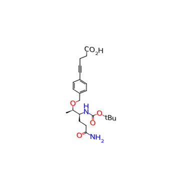 C[C@@H](OCc1ccc(C#CCCC(=O)O)cc1)[C@H](CCC(N)=O)NC(=O)OC(C)(C)C